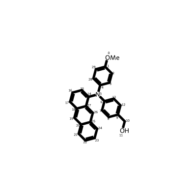 COc1ccc(N(c2ccc(CO)cc2)c2cccc3cc4ccccc4cc23)cc1